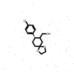 OCC1CC2(CC[C@H]1c1ccc(Cl)cc1)OCCO2